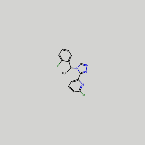 CC(c1ccccc1F)n1cnnc1-c1cccc(Br)n1